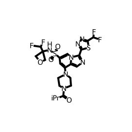 CC(C)C(=O)N1CCN(c2cc(S(=O)(=O)NC3(C(F)F)COC3)cn3c(-c4nnc(C(F)F)s4)ncc23)CC1